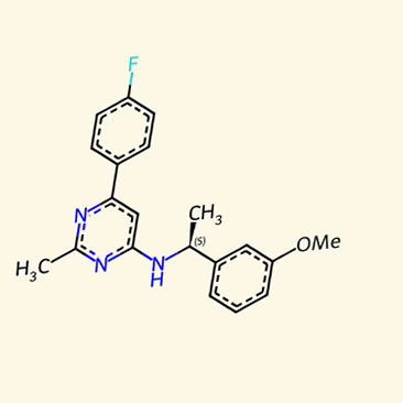 COc1cccc([C@H](C)Nc2cc(-c3ccc(F)cc3)nc(C)n2)c1